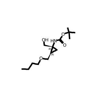 CCCCOC[C@@H]1C[C@@]1(CO)NC(=O)OC(C)(C)C